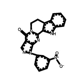 O=c1c2cnn(-c3cccc([N+](=O)[O-])c3)c2nc2n1CCc1c-2[nH]c2ccccc12